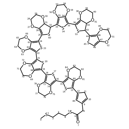 CSCCCSC(=O)CC1=CCC(c2sc(-c3sc(-c4sc(-c5sc(C6=C7OCCOC7C(c7sc(C8=C9OCCOC9C(c9scc%10c9OCCO%10)S8)c8c7OCCO8)S6)c6c5OCCO6)c5c4OCCO5)c4c3OCCO4)c3c2OCCO3)=C1